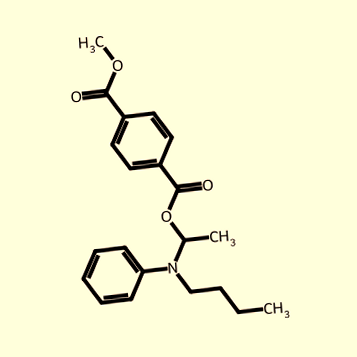 CCCCN(c1ccccc1)C(C)OC(=O)c1ccc(C(=O)OC)cc1